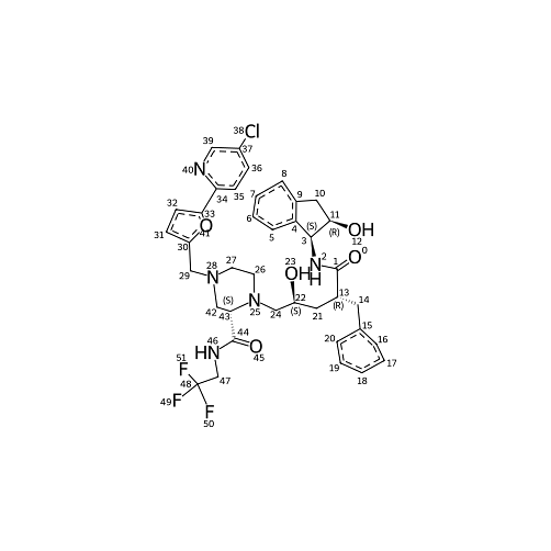 O=C(N[C@H]1c2ccccc2C[C@H]1O)[C@H](Cc1ccccc1)C[C@H](O)CN1CCN(Cc2ccc(-c3ccc(Cl)cn3)o2)C[C@H]1C(=O)NCC(F)(F)F